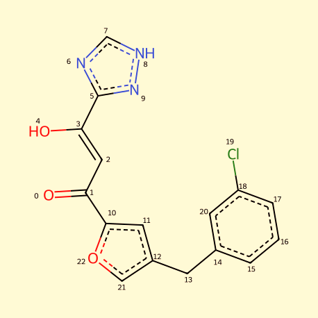 O=C(C=C(O)c1nc[nH]n1)c1cc(Cc2cccc(Cl)c2)co1